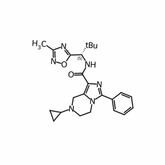 Cc1noc([C@@H](NC(=O)c2nc(-c3ccccc3)n3c2CN(C2CC2)CC3)C(C)(C)C)n1